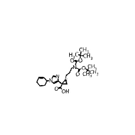 CC(C)(C)OC(=O)N(CCC[C@H]1CC1(C(=O)O)c1cn(C2C=CCCC2)cn1)C(=O)OC(C)(C)C